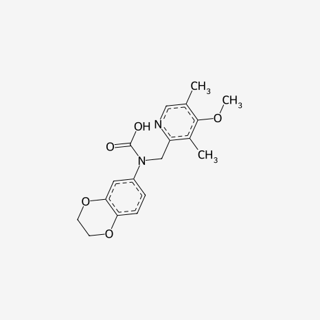 COc1c(C)cnc(CN(C(=O)O)c2ccc3c(c2)OCCO3)c1C